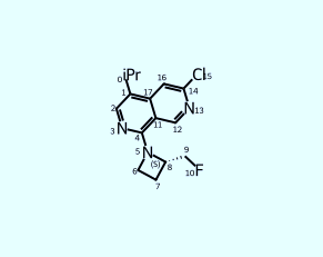 CC(C)c1cnc(N2CC[C@H]2CF)c2cnc(Cl)cc12